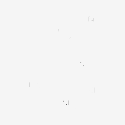 Nc1c(C(F)(F)F)cc(C(=O)CBr)nc1Cl